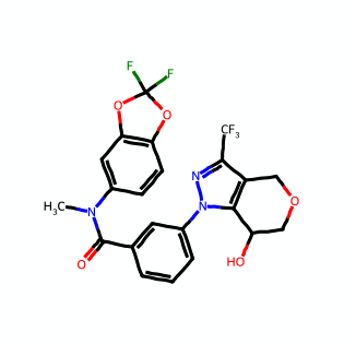 CN(C(=O)c1cccc(-n2nc(C(F)(F)F)c3c2C(O)COC3)c1)c1ccc2c(c1)OC(F)(F)O2